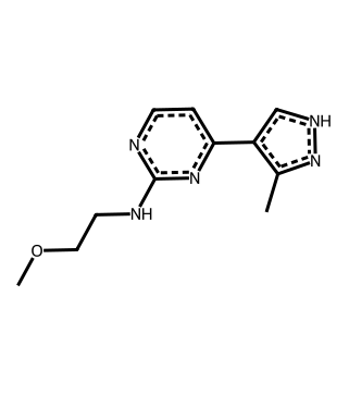 COCCNc1nccc(-c2c[nH]nc2C)n1